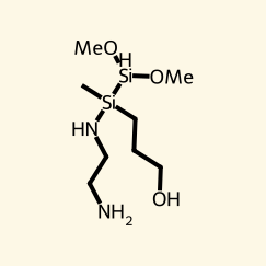 CO[SiH](OC)[Si](C)(CCCO)NCCN